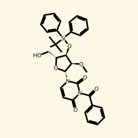 CO[C@@H]1[C@H](O[Si](c2ccccc2)(c2ccccc2)C(C)(C)C)[C@@H](CO)O[C@H]1n1ccc(=O)n(C(=O)c2ccccc2)c1=O